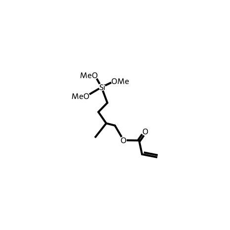 C=CC(=O)OCC(C)CC[Si](OC)(OC)OC